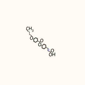 CCCCCOc1ccc(C(=O)Oc2ccc(/C=C/C(=O)O)cc2)cc1